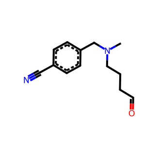 CN(CCCC=O)Cc1ccc(C#N)cc1